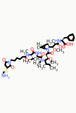 CC[C@H](C)[C@@H]([C@@H](CC(=O)N1C2C(C)C2C[C@H]1[C@H](OC)[C@@H](C)C(=O)N[C@@H](Cc1ccccc1)C(=O)O)OC)N(C)C(=O)CNC(=O)[C@H](C(C)C)N(C)C(=O)CCCCCN1C(=O)CC(SCN)C1=O